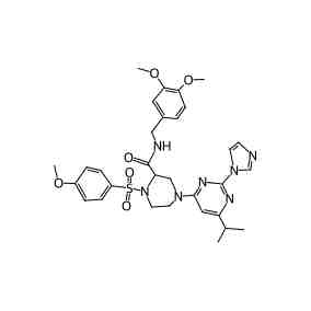 COc1ccc(S(=O)(=O)N2CCN(c3cc(C(C)C)nc(-n4ccnc4)n3)CC2C(=O)NCc2ccc(OC)c(OC)c2)cc1